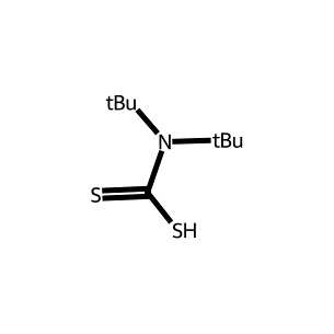 CC(C)(C)N(C(=S)S)C(C)(C)C